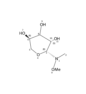 CON(C)[C@@H]1OC[C@@H](O)C(O)[C@@H]1O